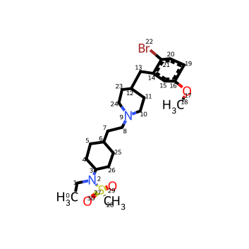 CCN(C1CCC(CCN2CCC(Cc3cc(OC)ccc3Br)CC2)CC1)S(C)(=O)=O